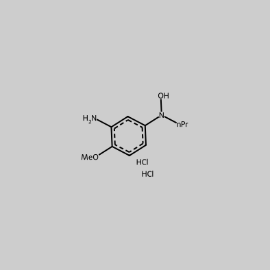 CCCN(O)c1ccc(OC)c(N)c1.Cl.Cl